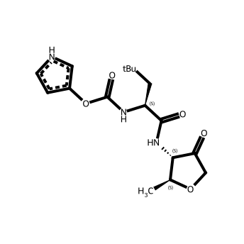 C[C@@H]1OCC(=O)[C@H]1NC(=O)[C@H](CC(C)(C)C)NC(=O)Oc1cc[nH]c1